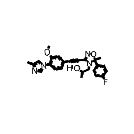 COc1cc(C#CC2=NOC(C)(c3ccc(F)cc3)N2CC(C)O)ccc1-n1cnc(C)c1